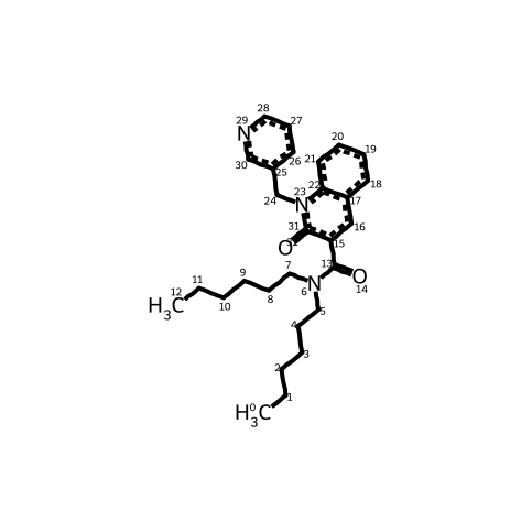 CCCCCCN(CCCCCC)C(=O)c1cc2ccccc2n(Cc2cccnc2)c1=O